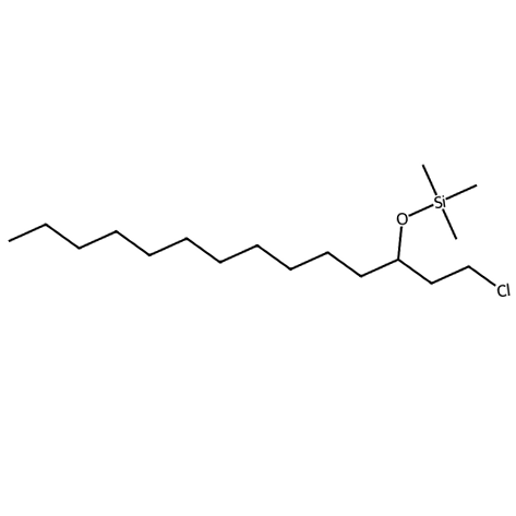 CCCCCCCCCCCC(CCCl)O[Si](C)(C)C